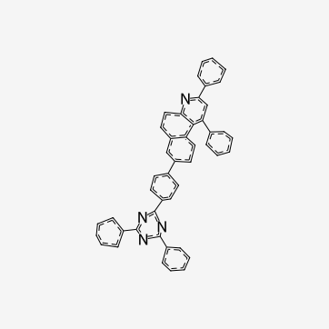 c1ccc(-c2cc(-c3ccccc3)c3c(ccc4cc(-c5ccc(-c6nc(-c7ccccc7)nc(-c7ccccc7)n6)cc5)ccc43)n2)cc1